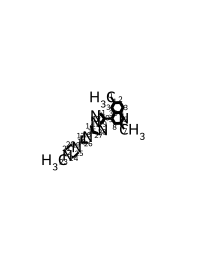 Cc1ccc2nc(C)cc(-c3cnn4cc(N5CC(N6CCN(C)CC6)C5)cnc34)c2c1